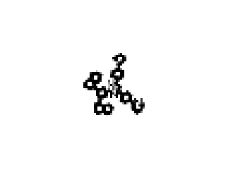 C1=CC2=C(CC1)C(c1cc(-c3nc(C4=CCC(c5ccccn5)C=C4)cc(C4C=CC(C5=CCCC=N5)=CC4)n3)cc(C3CCCc4ccccc43)c1)=CCC2